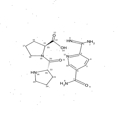 N=C(N)c1ccc(C(N)=O)cn1.O=C(O)[C@@H]1CCCN1C(=O)[C@@H]1CCCN1